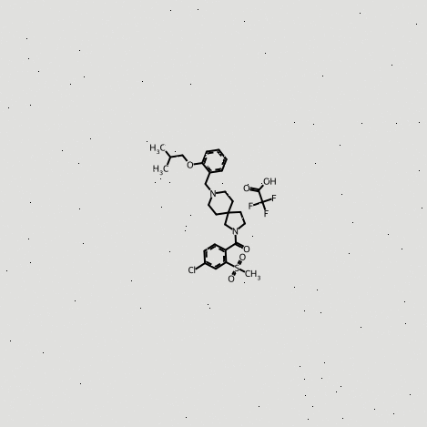 CC(C)COc1ccccc1CN1CCC2(CC1)CCN(C(=O)c1ccc(Cl)cc1S(C)(=O)=O)C2.O=C(O)C(F)(F)F